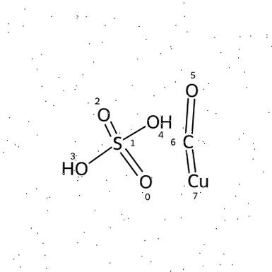 O=S(=O)(O)O.O=[C]=[Cu]